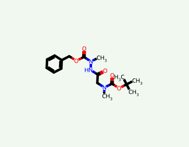 CN(CC(=O)NN(C)C(=O)OCc1ccccc1)C(=O)OC(C)(C)C